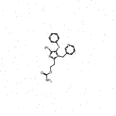 CC(C)c1nc(CCOC(N)=O)n(Cc2cccnc2)c1Sc1ccccc1